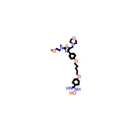 COCCN(C)c1nc(-c2ccc(OCCCCCOc3ccc(C(=N)NO)cc3)cc2)c(CN2CCOCC2)s1